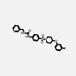 O=C(NCc1cccnc1)Nc1ccc(S(=O)(=O)N2CCC(Oc3cccc(F)c3)CC2)cc1